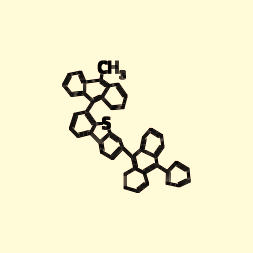 Cc1c2ccccc2c(-c2cccc3c2sc2cc(-c4c5c(c(-c6ccccc6)c6ccccc46)C=CCC5)ccc23)c2ccccc12